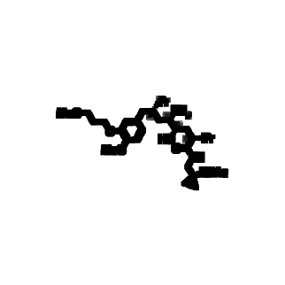 COCCCOc1cc(C[C@@H](C[C@H](N)[C@@H](O)C[C@H](C(=O)NCC2(NC(C)=O)CC2)C(C)C)C(C)C)ccc1OC